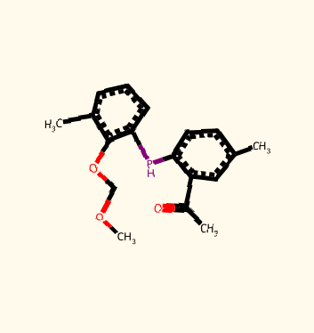 COCOc1c(C)cccc1Pc1ccc(C)cc1C(C)=O